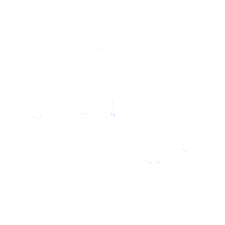 CCCCCN(CCCCC)C1Cc2ccc([N+](=O)[O-])cc2C1